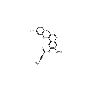 CC#CC(=O)Nc1cc2c(Nc3cccc(Br)c3)c(C#N)cnc2cc1OC